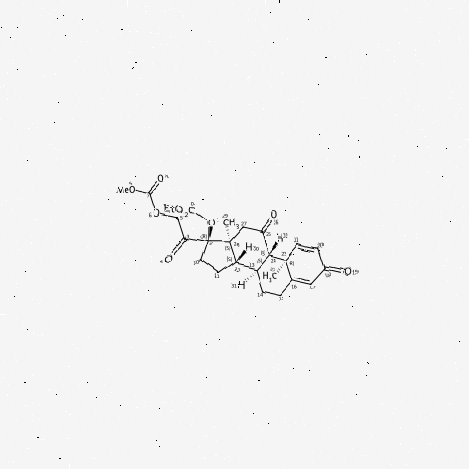 CCOC(=O)O[C@]1(C(=O)COC(=O)OC)CC[C@H]2[C@@H]3CCC4=CC(=O)C=C[C@]4(C)[C@H]3C(=O)C[C@@]21C